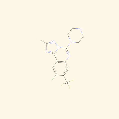 Cc1nc2c3cc(Cl)c(C(F)(F)F)cc3nc(N3CCNCC3)n2n1